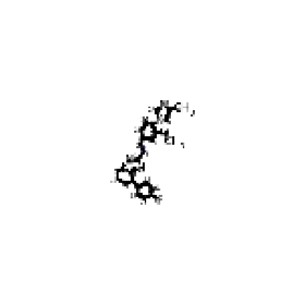 COc1cc(/C=C/c2nc3n(n2)CCCC3c2ccc(F)cc2)ccc1-n1cnc(C)c1